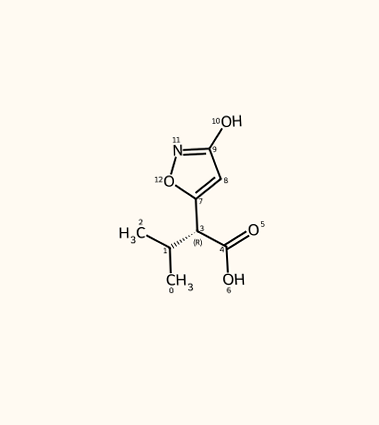 CC(C)[C@@H](C(=O)O)c1cc(O)no1